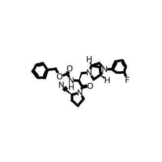 N#C[C@@H]1CCCN1C(=O)[C@H](CN1C[C@@H]2C[C@H]1CN2C1=CC=CC(F)C1)NC(=O)OCc1ccccc1